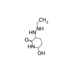 CCNNC1CCC(O)NC1=O